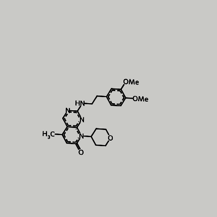 COc1ccc(CCNc2ncc3c(C)cc(=O)n(C4CCOCC4)c3n2)cc1OC